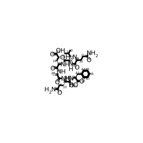 CC(C)C[C@H](NC(=O)[C@@H](N)CCC(N)=O)C(=O)N[C@@H](CCC(=O)O)C(=O)N[C@@H](C)C(=O)N[C@@H](CCC(N)=O)C(=O)N[C@@H](Cc1ccccc1)C(=O)O